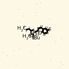 C=CCCC[C@@H](O[Si](C)(C)C(C)(C)C)C1C=Cc2cc(F)ccc2O1